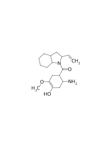 C=CC1CC2CCCCC2N1C(=O)C1CC(OC)=C(O)CC1N